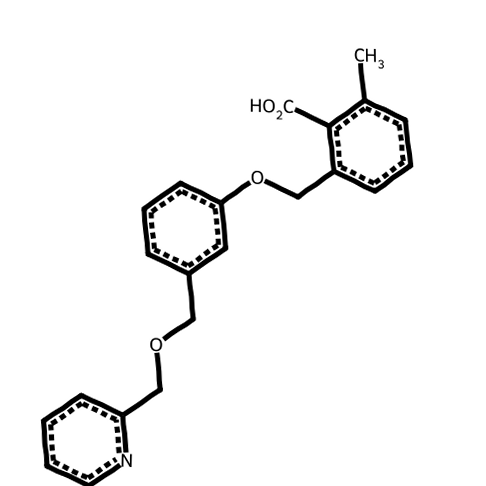 Cc1cccc(COc2cccc(COCc3ccccn3)c2)c1C(=O)O